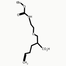 C=CCCC(COCCNC(=O)OC(C)(C)C)C(=O)O